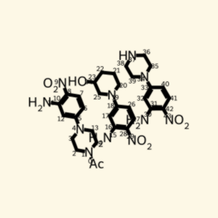 CC(=O)N1CCN(c2ccc([N+](=O)[O-])c(N)c2)CC1.Nc1cc(N2CCCC(O)C2)ccc1[N+](=O)[O-].Nc1cc(N2CCNCC2)ccc1[N+](=O)[O-]